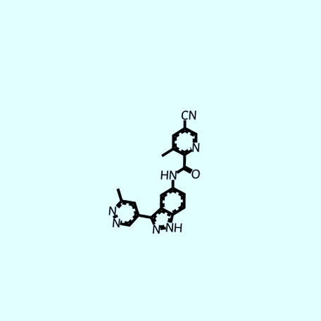 Cc1cc(-c2n[nH]c3ccc(NC(=O)c4ncc(C#N)cc4C)cc23)cnn1